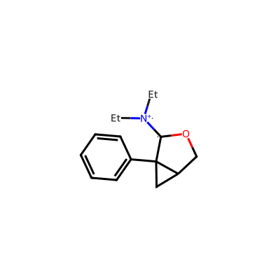 CC[N+](CC)[C]1OCC2CC12c1ccccc1